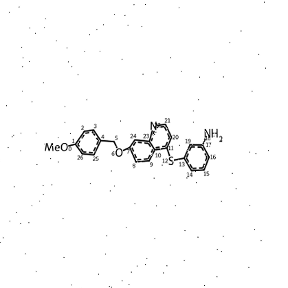 COc1ccc(COc2ccc3c(Sc4cccc(N)c4)ccnc3c2)cc1